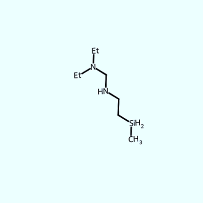 CCN(CC)CNCC[SiH2]C